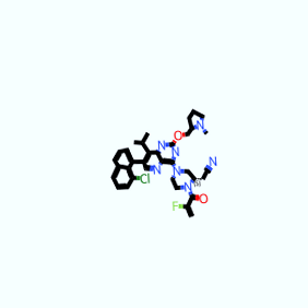 C=C(F)C(=O)N1CCN(c2nc(OCC3CCCN3C)nc3c(C(C)C)c(-c4cccc5cccc(Cl)c45)cnc23)C[C@@H]1CC#N